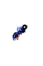 N#CN1CCN2CCN(c3cnc(-c4cccc5c4NNC54CCCCCCC4)cn3)C(=O)[C@H]2C1